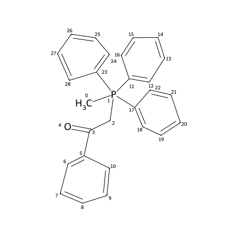 CP(CC(=O)c1ccccc1)(c1ccccc1)(c1ccccc1)c1ccccc1